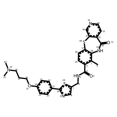 Cc1c(C(=O)NCc2cnc(-c3ccc(OCCCN(C)C)cc3)s2)ccc2c1NC(=O)c1ccncc1S2